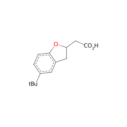 CC(C)(C)c1ccc2c(c1)CC(CC(=O)O)O2